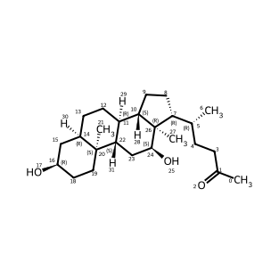 CC(=O)CC[C@@H](C)[C@H]1CC[C@H]2[C@@H]3CC[C@@H]4C[C@H](O)CC[C@]4(C)[C@H]3C[C@H](O)[C@]12C